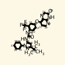 CC(C)(C)c1cc(NC(=O)Nc2ccc(Oc3ccnc4[nH]c(=O)cnc34)cc2C(F)(F)F)n(-c2ccccc2)n1